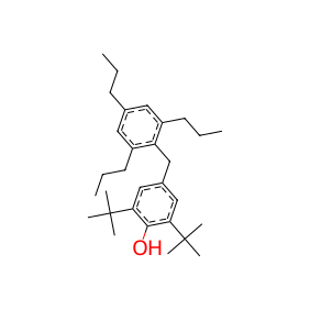 CCCc1cc(CCC)c(Cc2cc(C(C)(C)C)c(O)c(C(C)(C)C)c2)c(CCC)c1